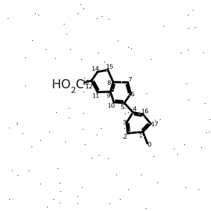 Cc1ccc(-c2ccc3c(c2)C=C(C(=O)O)CC3)cc1